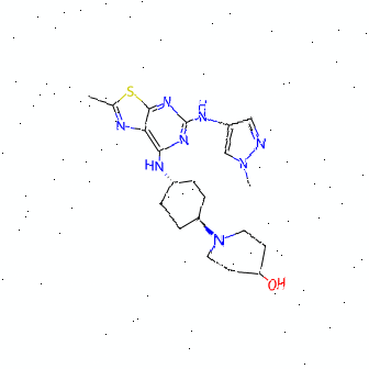 Cc1nc2c(N[C@H]3CC[C@H](N4CCC(O)CC4)CC3)nc(Nc3cnn(C)c3)nc2s1